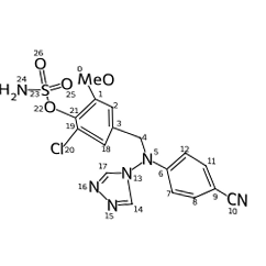 COc1cc(CN(c2ccc(C#N)cc2)n2cnnc2)cc(Cl)c1OS(N)(=O)=O